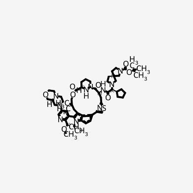 CCn1c(-c2cc(N3CCN4CCOC[C@@H]4C3)cnc2[C@H](C)OC)c2c3cc(ccc31)-c1csc(n1)C[C@H](NC(=O)[C@H](C1CCCC1)N1CC[C@]3(CCN(C(=O)OC(C)(C)C)C3)C1)C(=O)N1CCC[C@H](N1)C(=O)OCC(C)(C)C2